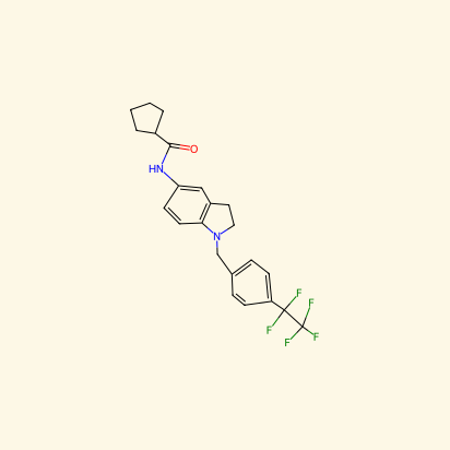 O=C(Nc1ccc2c(c1)CCN2Cc1ccc(C(F)(F)C(F)(F)F)cc1)C1CCCC1